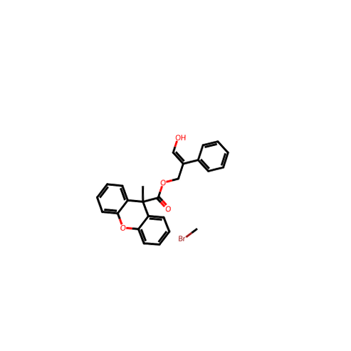 CBr.CC1(C(=O)OCC(=CO)c2ccccc2)c2ccccc2Oc2ccccc21